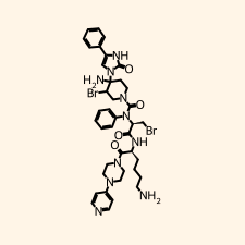 NCCCC[C@H](NC(=O)[C@H](CBr)N(C(=O)N1CCC(N)(n2cc(-c3ccccc3)[nH]c2=O)C(Br)C1)c1ccccc1)C(=O)N1CCN(c2ccncc2)CC1